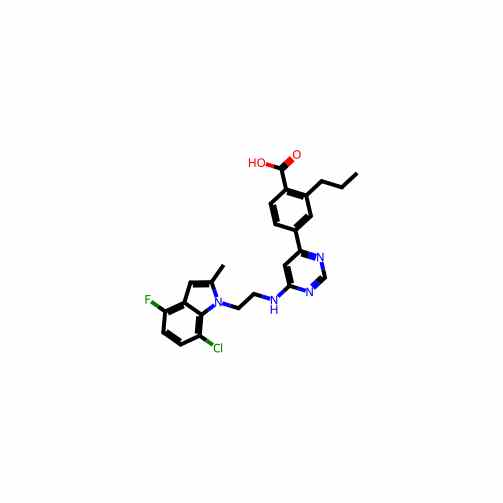 CCCc1cc(-c2cc(NCCn3c(C)cc4c(F)ccc(Cl)c43)ncn2)ccc1C(=O)O